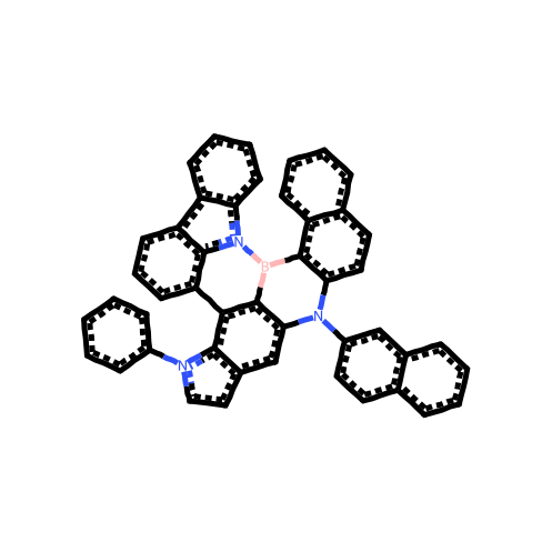 c1ccc(-n2ccc3cc4c5c(c32)-c2cccc3c6ccccc6n(c23)B5c2c(ccc3ccccc23)N4c2ccc3ccccc3c2)cc1